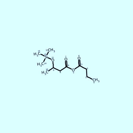 CCCC(=O)OC(=O)CC(C)O[Si](C)(C)C